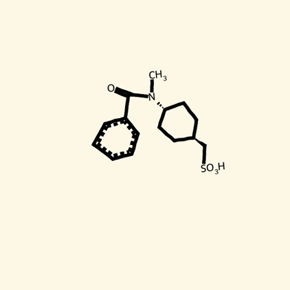 CN(C(=O)c1ccccc1)[C@H]1CC[C@H](CS(=O)(=O)O)CC1